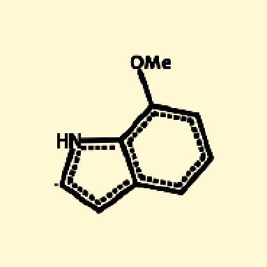 COc1cccc2c[c][nH]c12